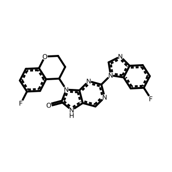 O=c1[nH]c2cnc(-n3cnc4ccc(F)cc43)nc2n1C1CCOc2ccc(F)cc21